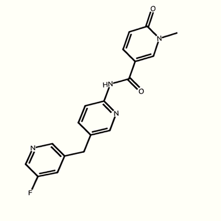 Cn1cc(C(=O)Nc2ccc(Cc3cncc(F)c3)cn2)ccc1=O